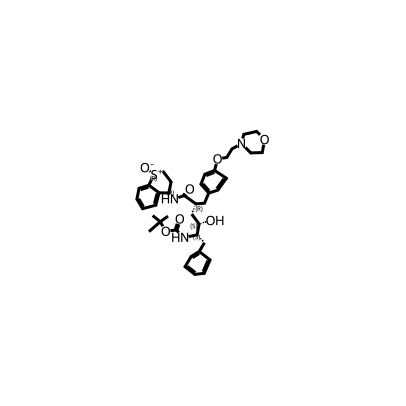 CC(C)(C)OC(=O)N[C@@H](Cc1ccccc1)[C@@H](O)C[C@@H](Cc1ccc(OCCN2CCOCC2)cc1)C(=O)N[C@@H]1CC[S@+]([O-])c2ccccc21